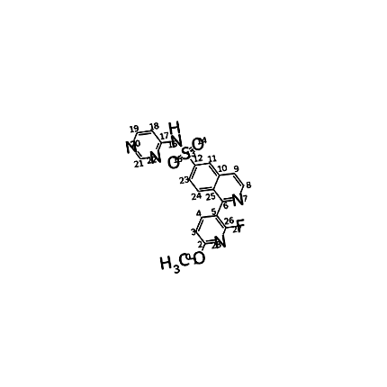 COc1ccc(-c2nccc3cc(S(=O)(=O)Nc4ccncn4)ccc23)c(F)n1